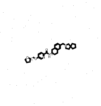 O=C(N[C@H]1CCc2cc(CN3CCC4(CCCC4)C3)ccc2C1)c1ccc(OC[C@@H]2CCCO2)cn1